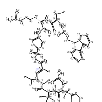 C/C(=C\[C@H](C(C)C)N(C)C(=O)[C@@H](NC(=O)[C@@H](N(C)C(=O)O)C(C)(C)c1ccccc1)C(C)(C)C)C(=O)NS(=O)(=O)c1ccc(NC(=O)[C@H](CCCNC(N)=O)NC(=O)[C@@H](NC(=O)OCC2c3ccccc3-c3ccccc32)C(C)C)cc1